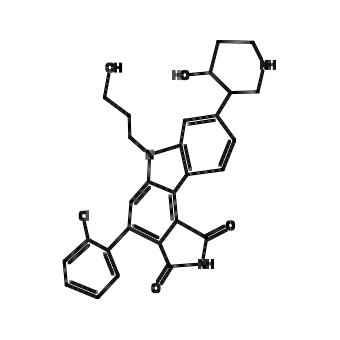 O=C1NC(=O)c2c1c(-c1ccccc1Cl)cc1c2c2ccc(C3CNCCC3O)cc2n1CCCO